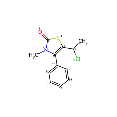 CC(Cl)c1sc(=O)n(C)c1-c1ccccc1